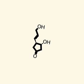 O=C1C[C@@H](O)[C@H](/C=C/CO)C1